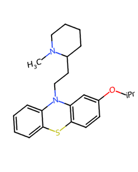 CC(C)Oc1ccc2c(c1)N(CCC1CCCCN1C)c1ccccc1S2